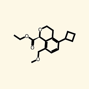 CCOC(=O)[C@H]1OCCc2c(C3CCC3)ccc(COC)c21